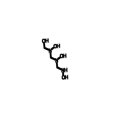 OCN(O)CN(O)CNO